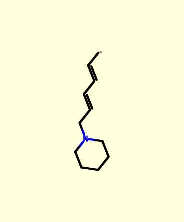 [CH2]/C=C/C=C/CN1CCCCC1